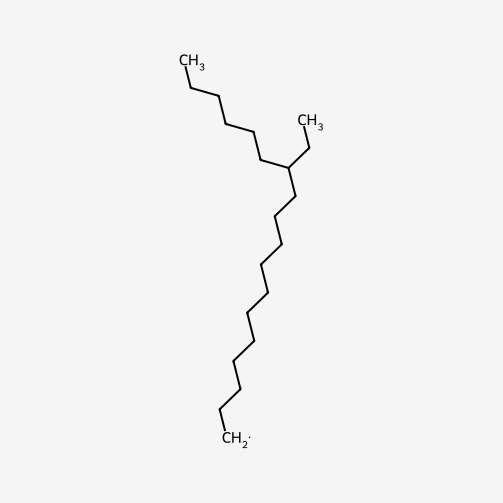 [CH2]CCCCCCCCCCC(CC)CCCCCC